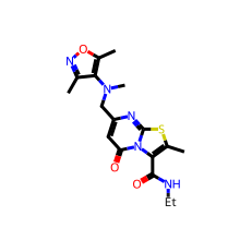 CCNC(=O)c1c(C)sc2nc(CN(C)c3c(C)noc3C)cc(=O)n12